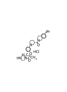 CC(C)c1ccc2c(c1)CCN(C(=O)[C@@H]1CCCN(c3cccc(OC(C)(C)C(=O)N4CCNCC4)c3)C1)C2.Cl